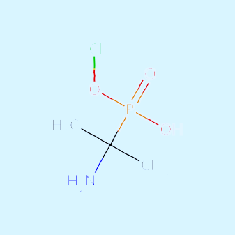 CC(C)(N)P(=O)(O)OCl